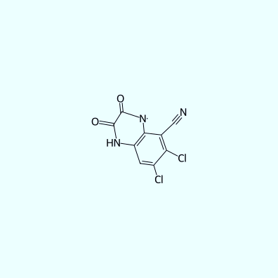 N#Cc1c(Cl)c(Cl)cc2c1[N]C(=O)C(=O)N2